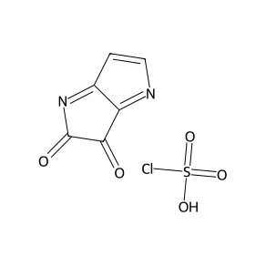 O=S(=O)(O)Cl.O=c1nc2ccnc-2c1=O